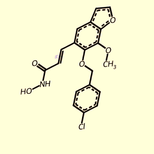 COc1c(OCc2ccc(Cl)cc2)c(/C=C/C(=O)NO)cc2ccoc12